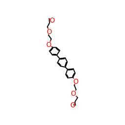 c1cc(-c2ccc(-c3ccc(OCCOCC4CO4)cc3)cc2)ccc1OCCOCC1CO1